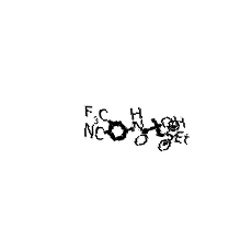 CCS(=O)(=O)CC(C)(O)C(=O)Nc1ccc(C#N)c(C(F)(F)F)c1